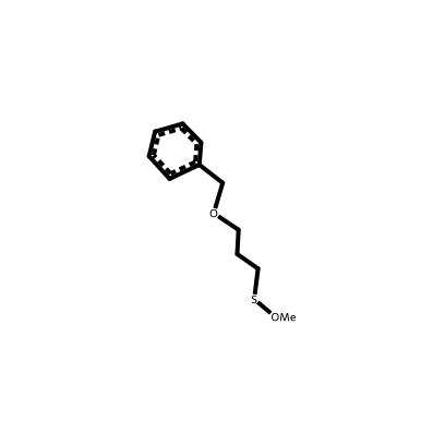 COSCCCOCc1ccccc1